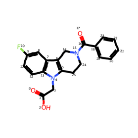 O=C(O)Cn1c2c(c3cc(F)ccc31)CN(C(=O)c1ccccc1)CC2